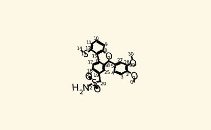 COc1ccc(C2Oc3cccc(SC)c3-c3ccc(CS(N)(=O)=O)cc32)cc1OC